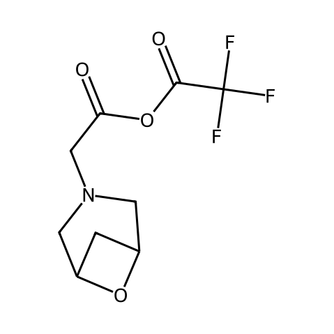 O=C(CN1CC2CC(C1)O2)OC(=O)C(F)(F)F